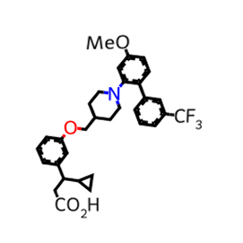 COc1ccc(-c2cccc(C(F)(F)F)c2)c(N2CCC(COc3cccc(C(CC(=O)O)C4CC4)c3)CC2)c1